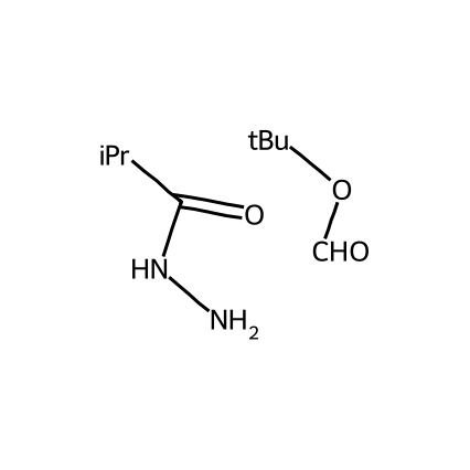 CC(C)(C)OC=O.CC(C)C(=O)NN